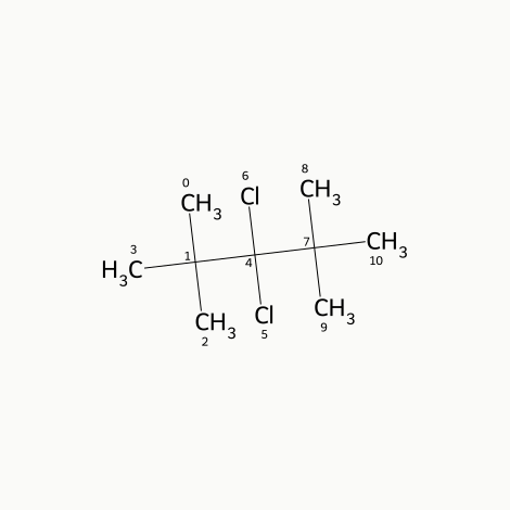 CC(C)(C)C(Cl)(Cl)C(C)(C)C